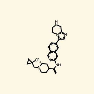 C=C(Nc1cc2cc(-c3cnc4n3CCNC4)ccc2cn1)C1CCN(CC2(C(F)(F)F)CC2)CC1